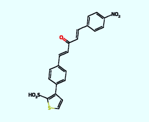 O=C(/C=C/c1ccc(-c2ccsc2S(=O)(=O)O)cc1)/C=C/c1ccc([N+](=O)[O-])cc1